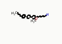 CCCCCc1ccc([C@H]2CC[C@H]([C@H]3CC[C@@](CCC=CC=CC#N)(OC)CC3)CC2)cc1